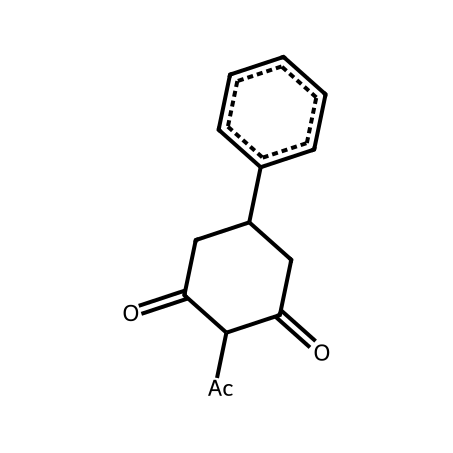 CC(=O)C1C(=O)CC(c2ccccc2)CC1=O